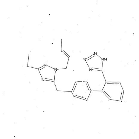 C/C=C/Cn1nc(CC)nc1Cc1ccc(-c2ccccc2-c2nnn[nH]2)cc1